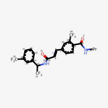 CC(C)NC(=O)c1ccc(/C=C/C(=O)NC(c2cccc(C(F)(F)F)c2)C(F)(F)F)cc1C(F)(F)F